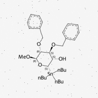 CCC[CH2][Sn]([CH2]CCC)([CH2]CCC)[C@@H]1O[C@@H](OC)[C@H](OCc2ccccc2)[C@@H](OCc2ccccc2)[C@@H]1O